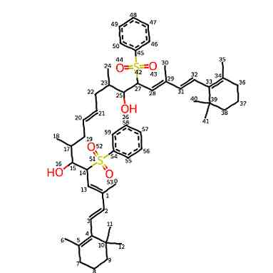 CC(C=CC1=C(C)CCCC1(C)C)=CC(C(O)C(C)CC=CCC(C)C(O)C(C=C(C)C=CC1=C(C)CCCC1(C)C)S(=O)(=O)c1ccccc1)S(=O)(=O)c1ccccc1